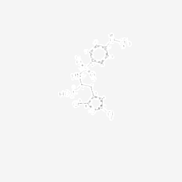 O=C(O)C(Cc1cc(Cl)sc1Cl)NS(=O)(=O)c1ccc(OC(F)(F)F)cc1